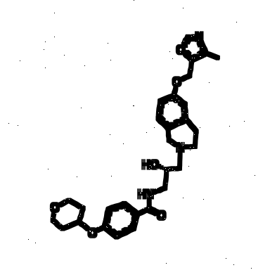 Cc1ncoc1COc1ccc2c(c1)CCN(C[C@@H](O)CNC(=O)c1ccc(OC3CCOCC3)cc1)C2